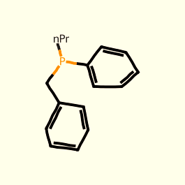 CCCP(Cc1ccccc1)c1ccccc1